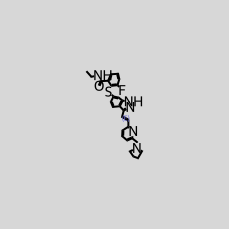 CCNC(=O)c1cccc(F)c1Sc1ccc2c(/C=C/c3cccc(CN4CCCC4)n3)n[nH]c2c1